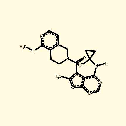 COc1nccc2c1CCN(C(=O)c1c(C)oc3ncnc(N(I)C4(C)CC4)c13)C2